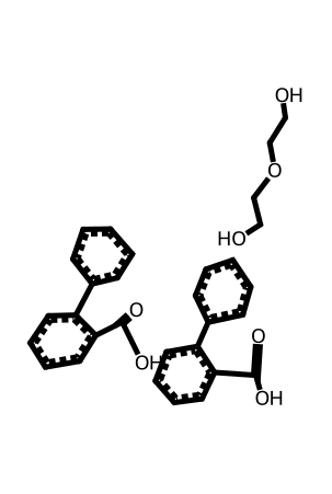 O=C(O)c1ccccc1-c1ccccc1.O=C(O)c1ccccc1-c1ccccc1.OCCOCCO